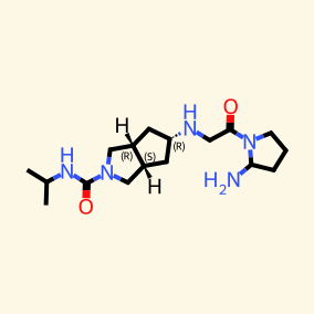 CC(C)NC(=O)N1C[C@H]2C[C@@H](NCC(=O)N3CCCC3N)C[C@H]2C1